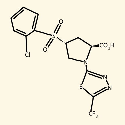 O=C(O)[C@@H]1C[C@@H](S(=O)(=O)c2ccccc2Cl)CN1c1nnc(C(F)(F)F)s1